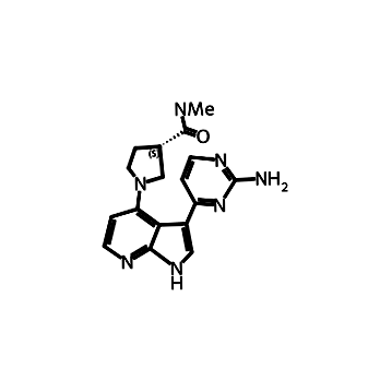 CNC(=O)[C@H]1CCN(c2ccnc3[nH]cc(-c4ccnc(N)n4)c23)C1